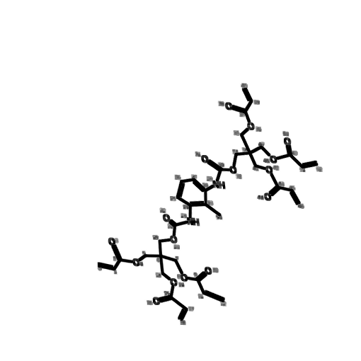 C=CC(=O)OCC(COC(=O)C=C)(COC(=O)C=C)COC(=O)Nc1cccc(NC(=O)OCC(COC(=O)C=C)(COC(=O)C=C)COC(=O)C=C)c1C